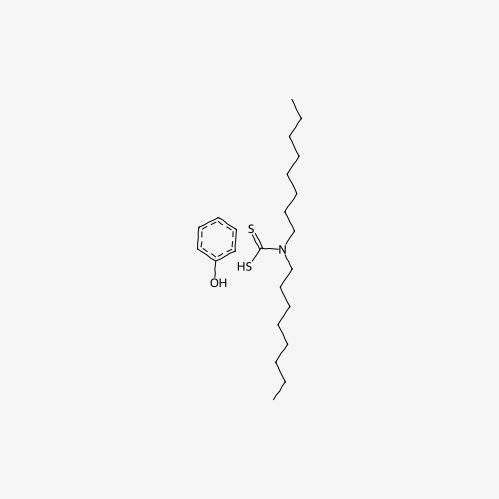 CCCCCCCCN(CCCCCCCC)C(=S)S.Oc1ccccc1